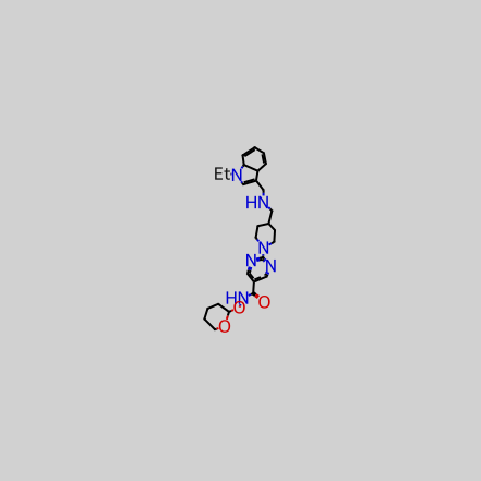 CCN1C=C(CNCC2CCN(c3ncc(C(=O)NOC4CCCCO4)cn3)CC2)C2C=CC=CC21